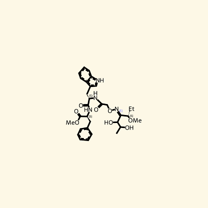 CC[C@H](OC)/C(=N/OCC(=O)N[C@@H](Cc1c[nH]c2ccccc12)C(=O)N[C@@H](Cc1ccccc1)C(=O)OC)C(O)C(C)O